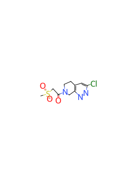 CS(=O)(=O)CC(=O)N1CCc2cc(Cl)nnc2C1